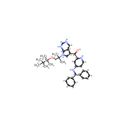 CC(C)(CO[Si](C)(C)C(C)(C)C)n1cc(C(=O)c2cc(N=C(c3ccccc3)c3ccccc3)ccn2)c2cncnc21